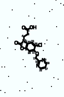 O=C(O)CCn1c(=O)oc2cc(OCc3ncccn3)c(Cl)cc21